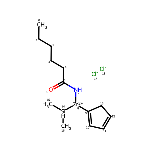 CCCCCC(=O)[NH][Zr+2]([C]1=CC=CC1)[SiH](C)C.[Cl-].[Cl-]